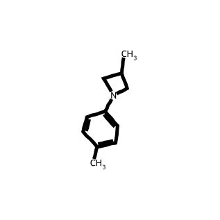 Cc1ccc(N2CC(C)C2)cc1